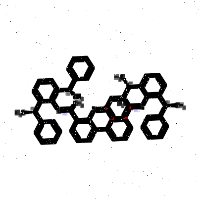 C/C(=N\c1c([C@@H](C)c2ccccc2)cccc1[C@@H](C)c1ccccc1)c1cccc2c1nnc1c(/C(C)=N/c3c([C@@H](C)c4ccccc4)cccc3[C@@H](C)c3ccccc3)cccc12